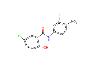 O=C(Nc1ccc([N+](=O)[O-])c(F)c1)c1cc(Cl)ccc1O